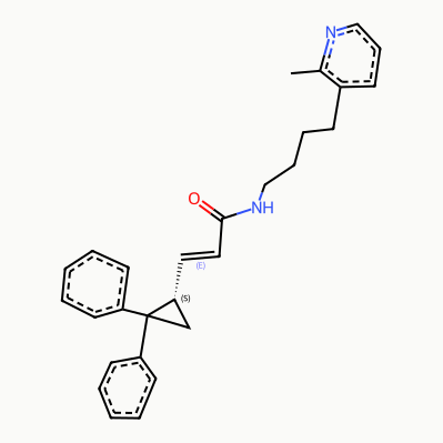 Cc1ncccc1CCCCNC(=O)/C=C/[C@@H]1CC1(c1ccccc1)c1ccccc1